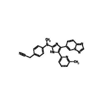 Cc1cccc(-c2[nH]c(N(C)c3ccc(CC#N)cc3)nc2-c2ccc3ncnn3c2)n1